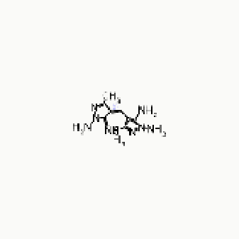 CC1=NN(N)C(=N)/C1=C\c1c(C)nn(N)c1N